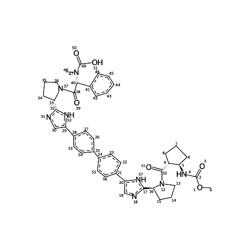 COC(=O)N[C@@H]1CCC[C@H]1C(=O)N1CCC[C@H]1c1ncc(-c2ccc(-c3ccc(-c4cnc([C@@H]5CCCN5C(=O)[C@@H](c5ccccc5)N(C)C(=O)O)[nH]4)cc3)cc2)[nH]1